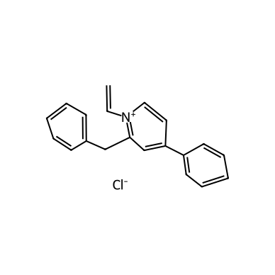 C=C[n+]1ccc(-c2ccccc2)cc1Cc1ccccc1.[Cl-]